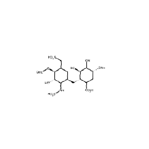 CO[C@@H]1CC(C(=O)O)[C@H](C[C@@H]2CC(CS(=O)(=O)O)[C@H](OC=O)[C@@H](O)C2NS(=O)(=O)O)[C@@H](O)C1O